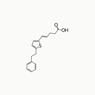 O=C(O)CCC=Cc1ccc(CCc2ccccc2)s1